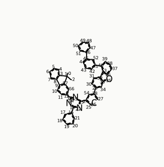 CC1(C)c2ccccc2-c2ccc(-c3nc(-c4ccccc4)nc(-c4cccc(-c5ccc6c(c5)oc5cccc(-c7cccc(-c8ccccc8)c7)c56)c4)n3)cc21